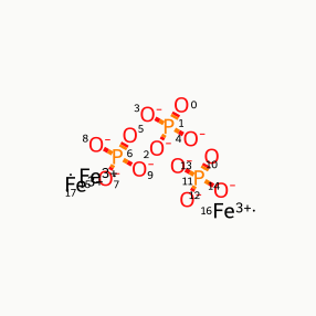 O=P([O-])([O-])[O-].O=P([O-])([O-])[O-].O=P([O-])([O-])[O-].[Fe+3].[Fe+3].[Fe+3]